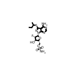 CCC(C)Sc1nn([C@@H]2O[C@H](COS(N)(=O)=O)[C@@H](O)[C@@H]2F)c2ncnc(N)c12